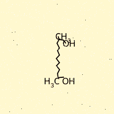 CC(CO)CCCCCCCCCC(C)CO